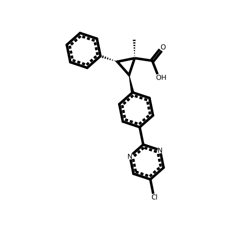 C[C@@]1(C(=O)O)[C@@H](c2ccccc2)[C@@H]1c1ccc(-c2ncc(Cl)cn2)cc1